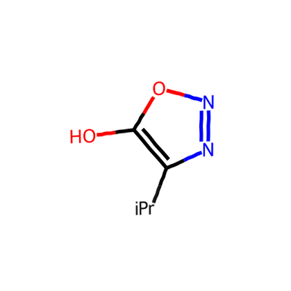 CC(C)c1nnoc1O